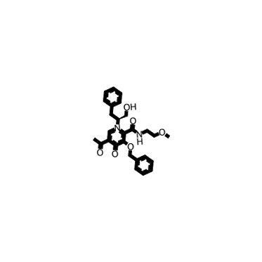 COCCNC(=O)c1c(OCc2ccccc2)c(=O)c(C(C)=O)cn1[C@H](CO)Cc1ccccc1